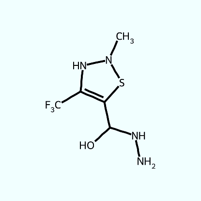 CN1NC(C(F)(F)F)=C(C(O)NN)S1